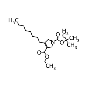 CCCCCCCCC1=C(C(=O)OCC)CN(C(=O)OC(C)(C)C)C1